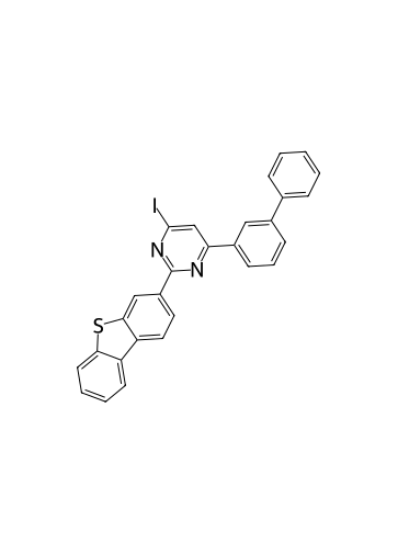 Ic1cc(-c2cccc(-c3ccccc3)c2)nc(-c2ccc3c(c2)sc2ccccc23)n1